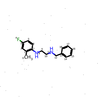 Cc1cc(F)ccc1NCCNCc1ccccc1